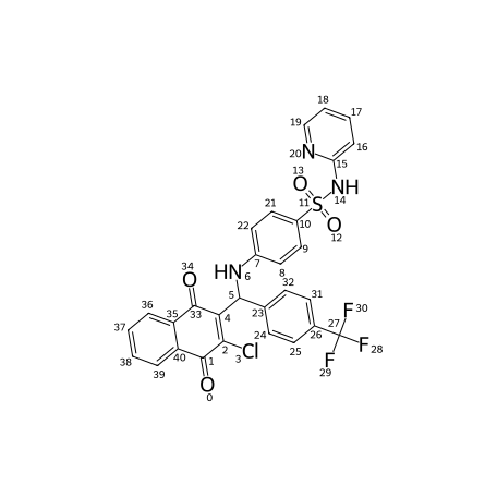 O=C1C(Cl)=C(C(Nc2ccc(S(=O)(=O)Nc3ccccn3)cc2)c2ccc(C(F)(F)F)cc2)C(=O)c2ccccc21